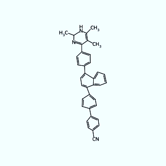 CC1=C(C)C(c2ccc(-c3ccc(-c4ccc(-c5ccc(C#N)cc5)cc4)c4ccccc34)cc2)=NC(C)N1